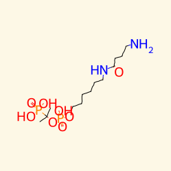 CC(C)(OP(=O)(O)OCCCCCCNC(=O)CCCN)P(=O)(O)O